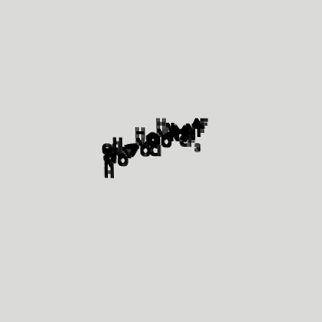 Cn1c(-c2cn(C3CC3(F)F)nc2C(F)(F)F)cnc1C(=O)Nc1ccc(C(=O)NC2C3CN(C(=O)NC4CNCC4O)CC32)c(Cl)c1